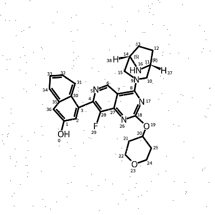 Oc1cc(-c2ncc3c(N4C[C@H]5CC[C@@H](C4)N5)nc(OC4CCOCC4)nc3c2F)c2ccccc2c1